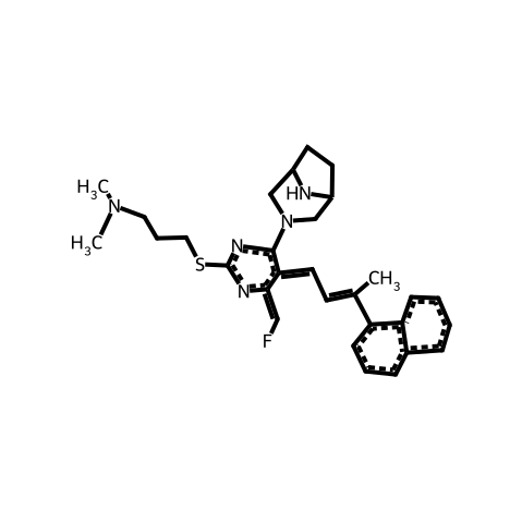 C\C(=C/C=c1/c(N2CC3CCC(C2)N3)nc(SCCCN(C)C)n/c1=C\F)c1cccc2ccccc12